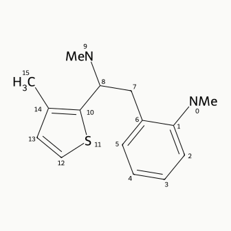 CNc1ccccc1CC(NC)c1sccc1C